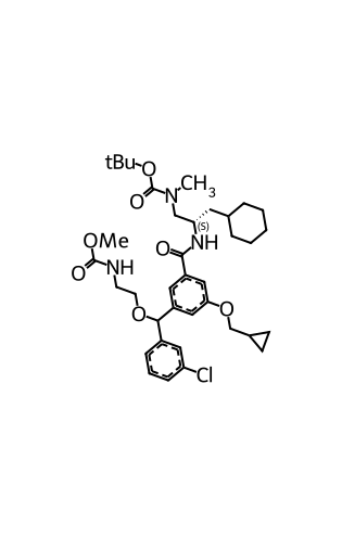 COC(=O)NCCOC(c1cccc(Cl)c1)c1cc(OCC2CC2)cc(C(=O)N[C@@H](CC2CCCCC2)CN(C)C(=O)OC(C)(C)C)c1